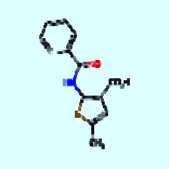 Cc1cc(C(=O)O)c(NC(=O)c2ccccc2)s1